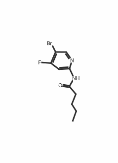 CCCCC(=O)Nc1cc(F)c(Br)cn1